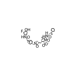 O=C(C[n+]1ccc(CN2CCC(=CC3=C(C(=O)[O-])N4C(=O)[C@@H](NC(=O)CSc5ccccc5)[C@H]4SC3)C2=O)cc1)Nc1ccc(O)c(F)c1